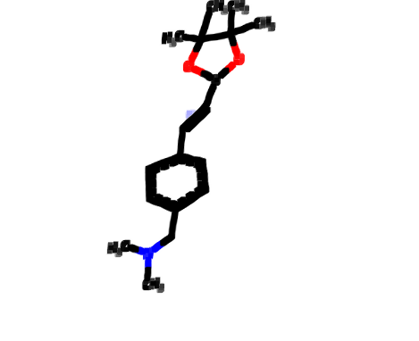 CN(C)Cc1ccc(/C=C/B2OC(C)(C)C(C)(C)O2)cc1